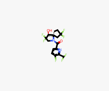 O=C(c1ccc(F)c(C(F)F)n1)N1CC(F)(F)[C@@H](O)[C@]12CCC(F)(F)C2